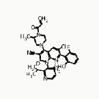 C=CC(=O)N1CCN(c2c(C#N)c(=O)n(-c3c(C)ccnc3C(C)C)c3nc(-c4c(O)cccc4F)c(Cl)cc23)CC1C